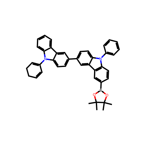 CC1(C)OB(c2ccc3c(c2)c2cc(-c4ccc5c(c4)c4ccccc4n5C4=CCCC=C4)ccc2n3-c2ccccc2)OC1(C)C